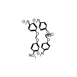 Cl.Cl.O=[N+]([O-])c1ccc(OCOc2ccc([N+](=O)[O-])cc2)cc1.O=[N+]([O-])c1ccc(OCOc2ccc([N+](=O)[O-])cc2)cc1